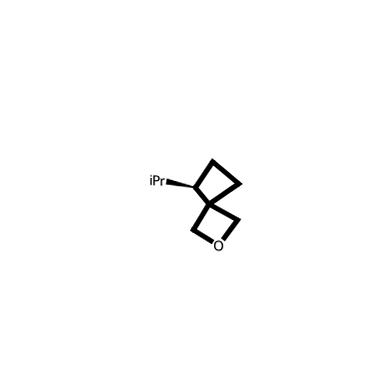 CC(C)[C@H]1CCC12COC2